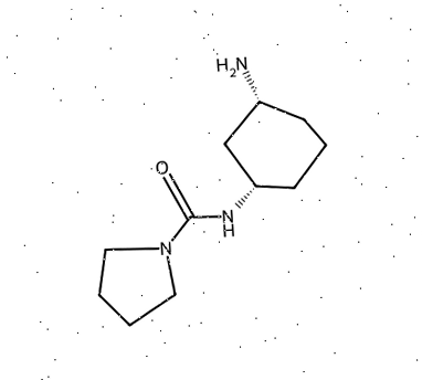 N[C@@H]1CCC[C@H](NC(=O)N2CCCC2)C1